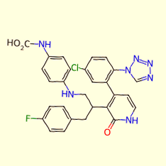 O=C(O)Nc1ccc(NCC(Cc2ccc(F)cc2)c2c(-c3cc(Cl)ccc3-n3cnnn3)cc[nH]c2=O)cc1